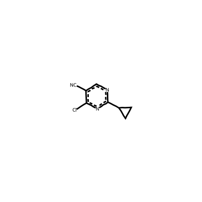 N#Cc1cnc(C2CC2)nc1Cl